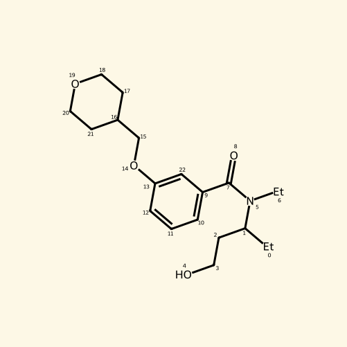 CCC(CCO)N(CC)C(=O)c1cccc(OCC2CCOCC2)c1